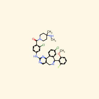 CNC1(C)CCN(C(=O)c2ccc(Nc3ncc4c(n3)-c3ccc(Cl)cc3C(c3c(F)cccc3OC)=NC4)cc2Cl)CC1